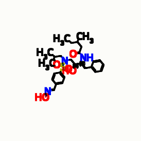 CCC(C)CC(=O)N[C@@H](Cc1ccccc1)[C@H](O)CN(CC(C)C)S(=O)(=O)c1ccc(C=NO)cc1